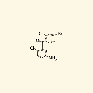 Nc1ccc(Cl)c(C(=O)c2ccc(Br)cc2Cl)c1